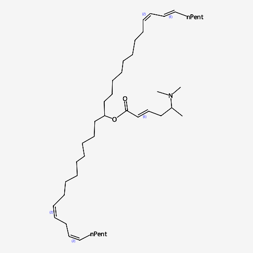 CCCCC/C=C\C/C=C\CCCCCCCCC(CCCCCCCC/C=C\C=C\CCCCC)OC(=O)/C=C/CC(C)N(C)C